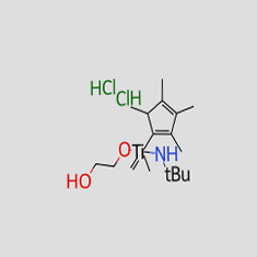 Cl.Cl.[CH2]=[Ti]([CH3])([NH]C(C)(C)C)([O]CCO)[C]1=C(C)C(C)=C(C)C1C